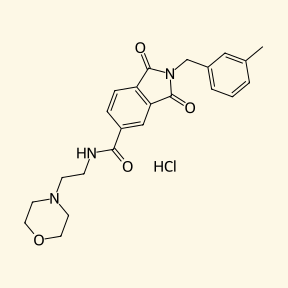 Cc1cccc(CN2C(=O)c3ccc(C(=O)NCCN4CCOCC4)cc3C2=O)c1.Cl